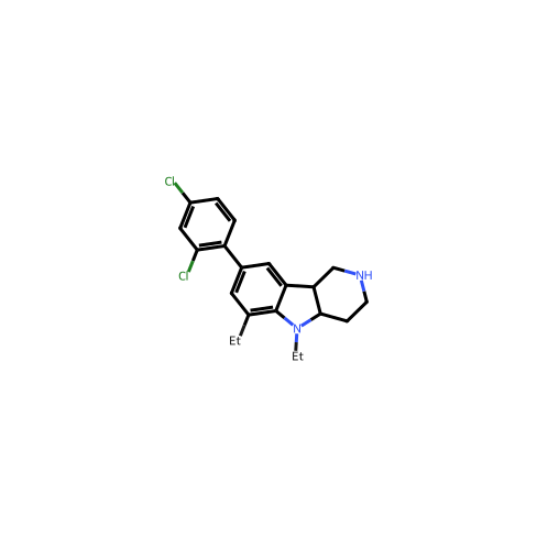 CCc1cc(-c2ccc(Cl)cc2Cl)cc2c1N(CC)C1CCNCC21